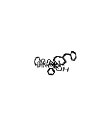 O=C(NOC1CCCCO1)c1ccccc1I(=O)(O)N1CCC(Cc2ccccc2)CC1